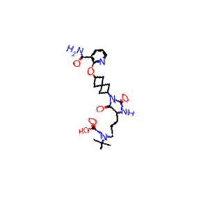 CC(C)(C)N(CCCC1NC(=O)N(C2CC3(CC(Oc4ncccc4C(N)=O)C3)C2)C1=O)C(=O)O